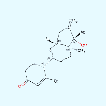 C=C1C[C@H]2C[C@@H]([C@H]3CCC(=O)C=C3CC)CC[C@]2(C)[C@]1(O)C(C)=O